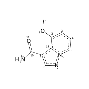 COc1cccn2ncc(C(N)=O)c12